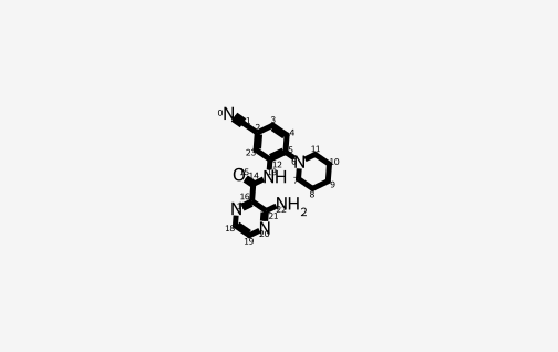 N#Cc1ccc(N2CCCCC2)c(NC(=O)c2nccnc2N)c1